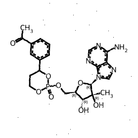 CC(=O)c1cccc(C2CCOP(=O)(OC[C@H]3O[C@@H](n4cnc5c(N)ncnc54)[C@](C)(O)[C@@H]3O)O2)c1